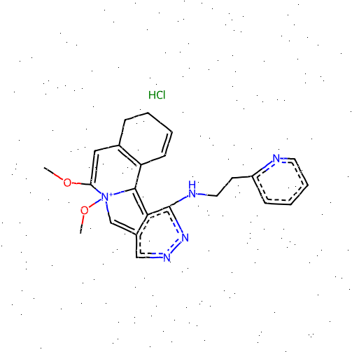 COC1=CC2=C(C=CCC2)C2=c3c(NCCc4ccccn4)nncc3=C[N+]12OC.Cl